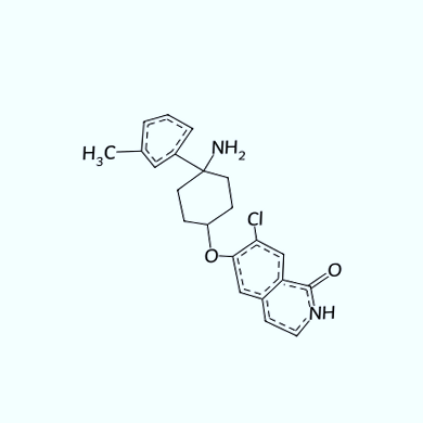 Cc1cccc(C2(N)CCC(Oc3cc4cc[nH]c(=O)c4cc3Cl)CC2)c1